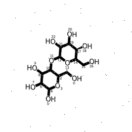 OCC1OC(O)C(O)C(O)C1OC1OC(CO)[C@H](O)C(O)C1O